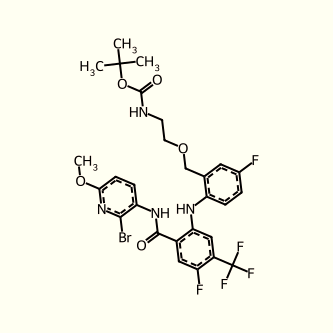 COc1ccc(NC(=O)c2cc(F)c(C(F)(F)F)cc2Nc2ccc(F)cc2COCCNC(=O)OC(C)(C)C)c(Br)n1